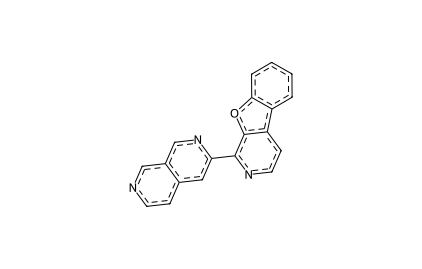 c1ccc2c(c1)oc1c(-c3cc4ccncc4cn3)nccc12